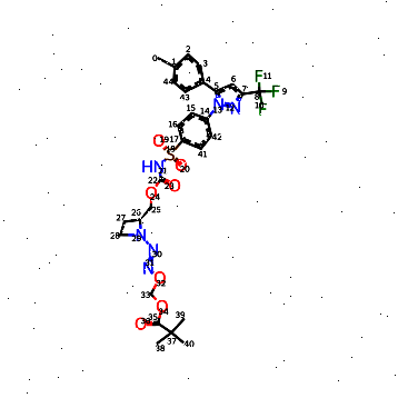 Cc1ccc(-c2cc(C(F)(F)F)nn2-c2ccc(S(=O)(=O)NC(=O)OC[C@@H]3CCN3N=NOCOC(=O)C(C)(C)C)cc2)cc1